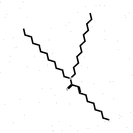 CCCCCCCC=CC(=S)N(CCCCCCCCCCCC)CCCCCCCCCCCC